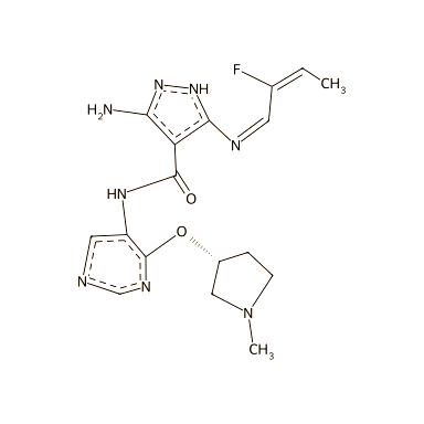 C/C=C(F)\C=N/c1[nH]nc(N)c1C(=O)Nc1cncnc1O[C@@H]1CCN(C)C1